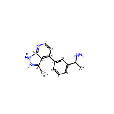 CCC(N)c1cccc(-c2ccnc3[nH]nc(C(F)(F)F)c23)c1